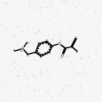 C=C(C)C(=O)Oc1ccc(CN(C)C)cc1